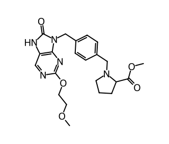 COCCOc1ncc2[nH]c(=O)n(Cc3ccc(CN4CCCC4C(=O)OC)cc3)c2n1